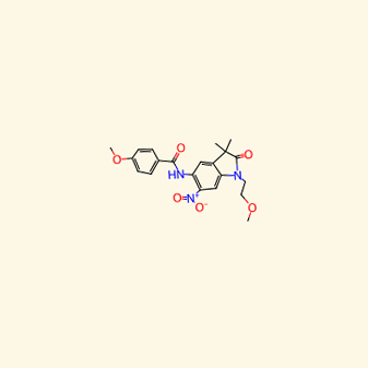 COCCN1C(=O)C(C)(C)c2cc(NC(=O)c3ccc(OC)cc3)c([N+](=O)[O-])cc21